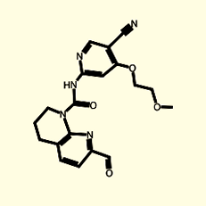 COCCOc1cc(NC(=O)N2CCCc3ccc(C=O)nc32)ncc1C#N